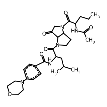 CCCC(NC(C)=O)C(=O)N1CC(=O)C2C1CCN2C(=O)C(CC(C)C)NC(=O)c1ccc(N2CCOCC2)cc1